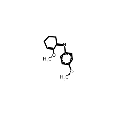 COC1=CCCCC1=Nc1ccc(OC)cc1